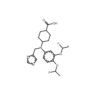 O=C(O)C1CCC(N(Cc2cncs2)c2ccc(OC(F)F)c(OC(F)F)c2)CC1